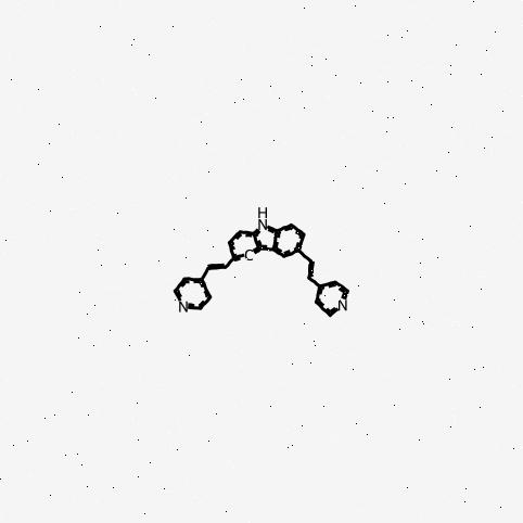 C(=Cc1ccc2[nH]c3ccc(C=Cc4ccncc4)cc3c2c1)c1ccncc1